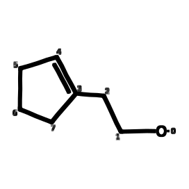 [O]CCC1=CCCC1